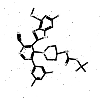 COc1cc(F)cc2[nH]c(-c3c(C#N)ncc(-c4cc(C)cc(F)c4)c3N3CCC(NC(=O)OC(C)(C)C)CC3)nc12